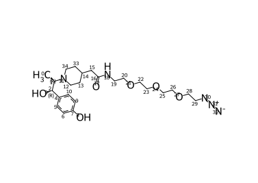 C[C@H]([C@H](O)c1ccc(O)cc1)N1CCC(CC(=O)NCCOCCOCCOCCN=[N+]=[N-])CC1